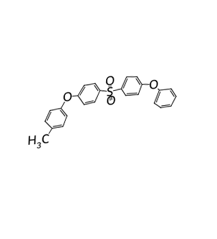 Cc1ccc(Oc2ccc(S(=O)(=O)c3ccc(Oc4ccccc4)cc3)cc2)cc1